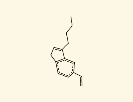 C=Cc1ccc2c(c1)C(CCCC)=CC2